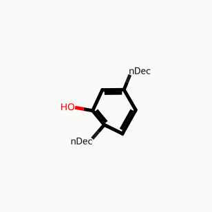 CCCCCCCCCCc1ccc(CCCCCCCCCC)c(O)c1